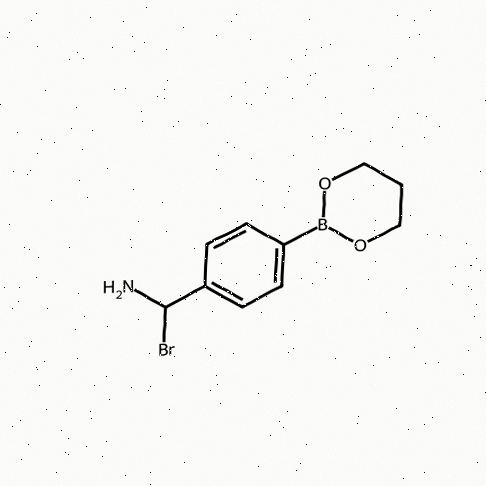 NC(Br)c1ccc(B2OCCCO2)cc1